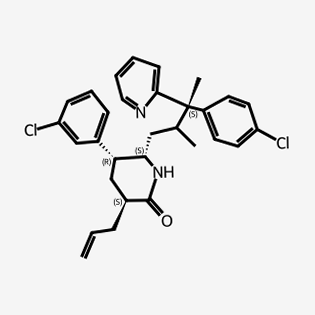 C=CC[C@H]1C[C@H](c2cccc(Cl)c2)[C@H](CC(C)[C@@](C)(c2ccc(Cl)cc2)c2ccccn2)NC1=O